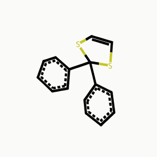 C1=CSC(c2ccccc2)(c2ccccc2)S1